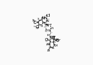 COc1cc2nc(Cl)nc(N3CCC(CCNC(=O)c4cc(C)ccc4[N+](=O)[O-])CC3)c2cc1OC